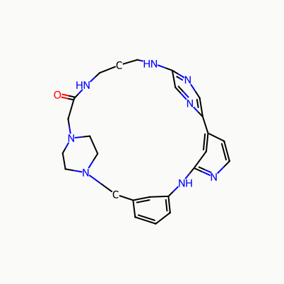 O=C1CN2CCN(CC2)Cc2cccc(c2)Nc2cc(ccn2)-c2cnc(cn2)NCCCN1